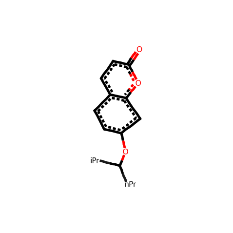 CCCC(Oc1ccc2ccc(=O)oc2c1)C(C)C